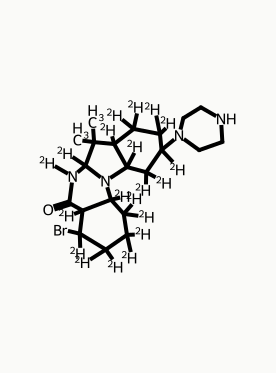 [2H]N1C(=O)C2([2H])C([2H])(Br)C([2H])([2H])C([2H])([2H])C([2H])([2H])C2([2H])N2C1([2H])C(C)(C)C1([2H])C([2H])([2H])C([2H])([2H])C([2H])(N3CCNCC3)C([2H])([2H])C21[2H]